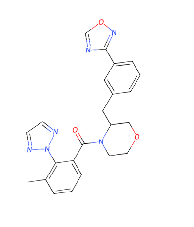 Cc1cccc(C(=O)N2CCOCC2Cc2cccc(-c3ncon3)c2)c1-n1nccn1